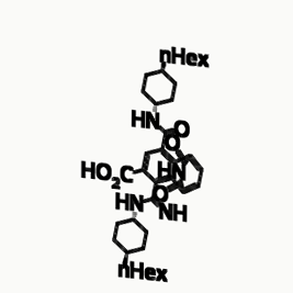 CCCCCC[C@H]1CC[C@H](NC(=N)c2c(C(=O)O)cc(C(=O)N[C@H]3CC[C@H](CCCCCC)CC3)c3c4ccc(c(=O)[nH]c4=O)c23)CC1